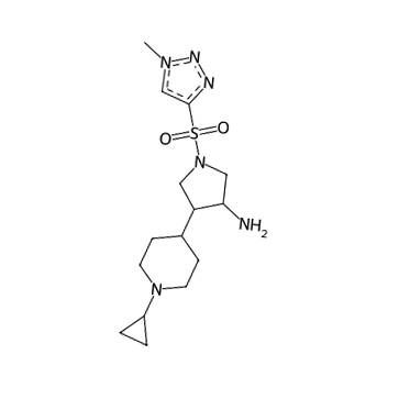 Cn1cc(S(=O)(=O)N2CC(N)C(C3CCN(C4CC4)CC3)C2)nn1